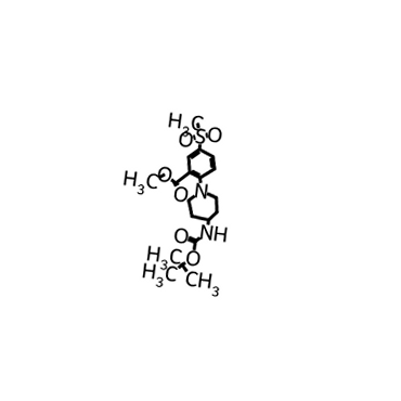 COC(=O)c1cc(S(C)(=O)=O)ccc1N1CCC(NC(=O)OC(C)(C)C)CC1